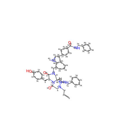 C=CCN1CC(=O)N2[C@@H](Cc3ccc(O)cc3)C(=O)N(Cc3cccc4c(-c5ccc(C(=O)NCc6ccccc6)cc5)cn(C)c34)C[C@@H]2N1NCc1ccccc1